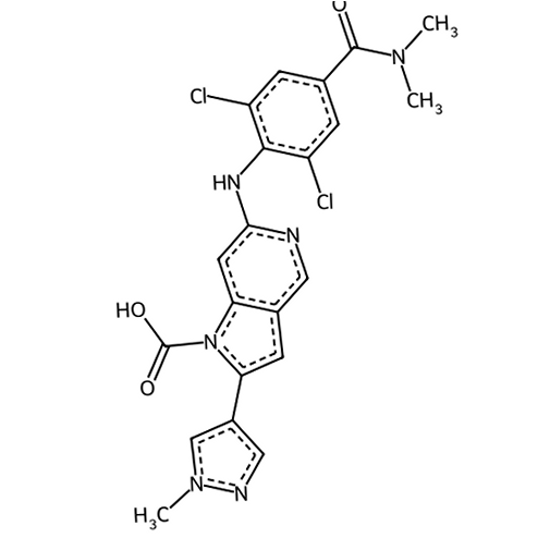 CN(C)C(=O)c1cc(Cl)c(Nc2cc3c(cn2)cc(-c2cnn(C)c2)n3C(=O)O)c(Cl)c1